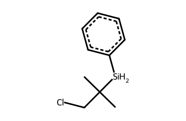 CC(C)(CCl)[SiH2]c1ccccc1